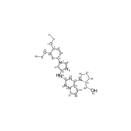 CCOc1ccc(-n2cnc(Nc3nc(N4CCCC4CO)c4cccn4n3)c2)cc1OCC